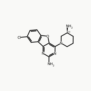 Nc1nc(N2CCC[C@H](N)C2)c2oc3ccc(Cl)cc3c2n1